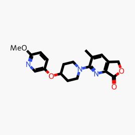 COc1ccc(OC2CCN(c3nc4c(cc3C)COC4=O)CC2)cn1